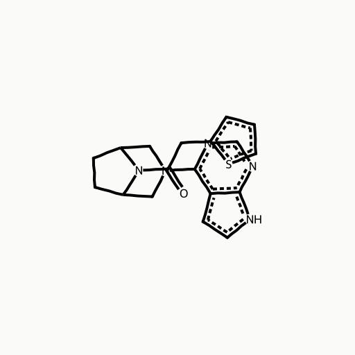 O=C(Cc1cccs1)N1C2CCC1CN(c1ncnc3[nH]ccc13)C2